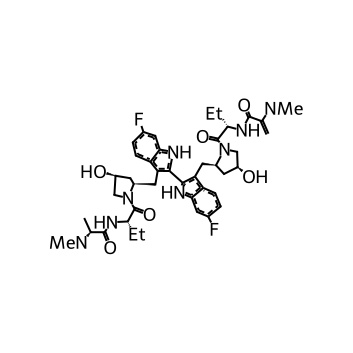 C=C(NC)C(=O)N[C@@H](CC)C(=O)N1C[C@@H](O)C[C@H]1Cc1c(-c2[nH]c3cc(F)ccc3c2C[C@@H]2C[C@H](O)CN2C(=O)[C@H](CC)NC(=O)[C@H](C)NC)[nH]c2cc(F)ccc12